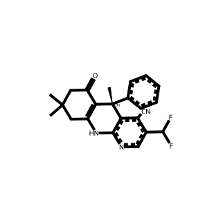 CC1(C)CC(=O)C2=C(C1)Nc1ncc(C(F)F)c(C#N)c1[C@@]2(C)c1ccccc1